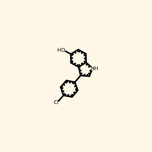 Oc1ccc2[nH]cc(-c3ccc(Cl)cc3)c2c1